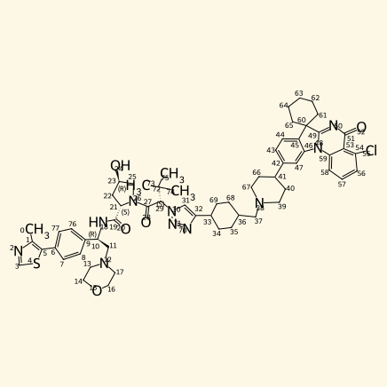 Cc1ncsc1-c1ccc([C@H](CN2CCOCC2)NC(=O)[C@@H]2C[C@@H](O)CN2C(=O)[C@@H](n2cc(C3CCC(CN4CCC(c5ccc6c(c5)-n5c(nc(=O)c7c(Cl)cccc75)C65CCCCC5)CC4)CC3)nn2)C(C)(C)C)cc1